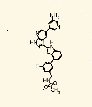 CS(=O)(=O)NCc1cc(F)cc(-c2cccc3[nH]c(-c4n[nH]c5ncc(-c6cncc(N)c6)cc45)cc23)c1